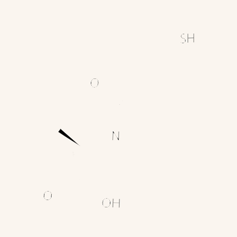 C[C@H](C(=O)O)N(C)C(=O)CCS